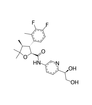 Cc1c([C@@H]2[C@@H](C(=O)Nc3ccc([C@@H](O)CO)nc3)OC(C)(C)[C@H]2C)ccc(F)c1F